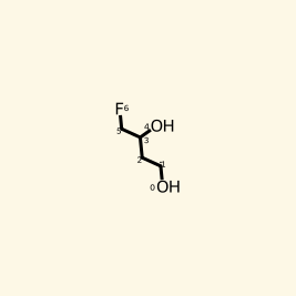 O[CH]CC(O)CF